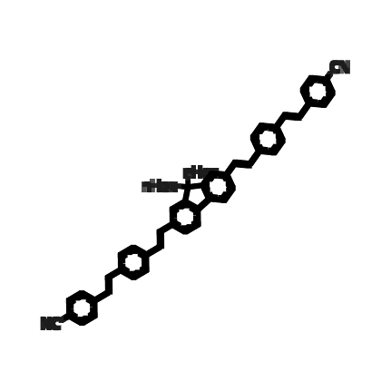 CCCCCCC1(CCCCCC)c2cc(/C=C/c3ccc(/C=C/c4ccc(C#N)cc4)cc3)ccc2-c2ccc(/C=C/c3ccc(/C=C/c4ccc(C#N)cc4)cc3)cc21